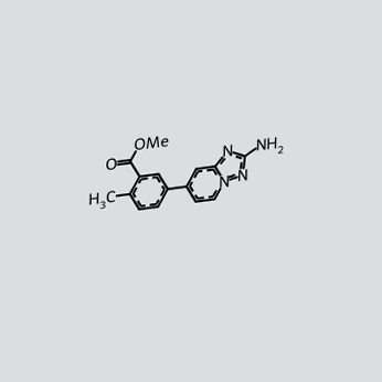 COC(=O)c1cc(-c2ccn3nc(N)nc3c2)ccc1C